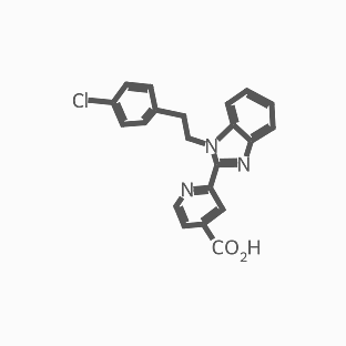 O=C(O)c1ccnc(-c2nc3ccccc3n2CCc2ccc(Cl)cc2)c1